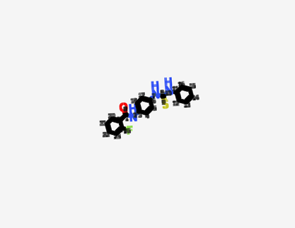 O=C(Nc1ccc(NC(=S)Nc2ccccc2)cc1)c1ccccc1F